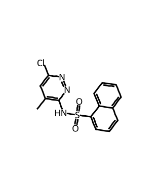 Cc1cc(Cl)nnc1NS(=O)(=O)c1cccc2ccccc12